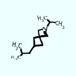 CC(C)CC1CC2(C1)CN(C(C)C)C2